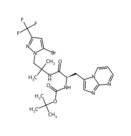 CC(C)(Cn1nc(C(F)(F)F)cc1Br)NC(=O)[C@@H](Cc1cnc2ncccn12)NC(=O)OC(C)(C)C